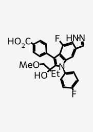 CC[C@@](O)(COC)c1c(-c2ccc(C(=O)O)cc2)c2c(F)c3[nH]ncc3cc2n1-c1ccc(F)cc1